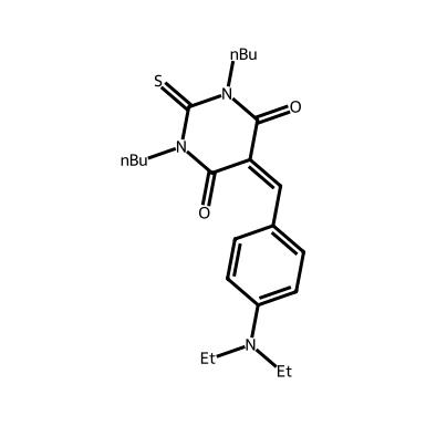 CCCCN1C(=O)C(=Cc2ccc(N(CC)CC)cc2)C(=O)N(CCCC)C1=S